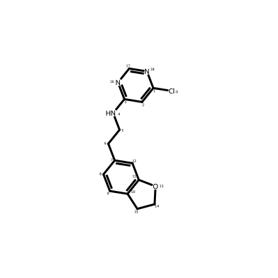 Clc1cc(NCCc2ccc3c(c2)OCC3)ncn1